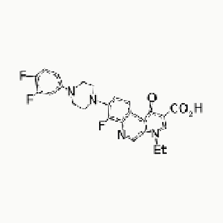 CCn1cc(C(=O)O)c(=O)c2c3ccc(N4CCN(c5ccc(F)c(F)c5)CC4)c(F)c3ncc21